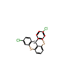 Clc1ccc2c(c1)Sc1cccc3c1[Si]2(c1ccccc1)c1ccc(Cl)cc1S3